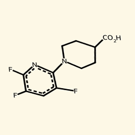 O=C(O)C1CCN(c2nc(F)c(F)cc2F)CC1